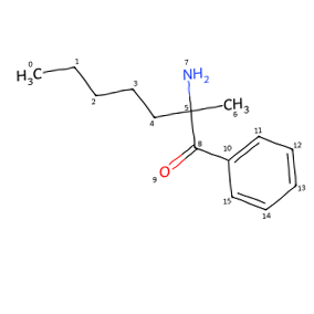 CCCCCC(C)(N)C(=O)c1ccccc1